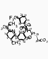 Cc1ccc(N(C)C)nc1-c1ccc2c(c1)N(S(=O)(=O)c1cccc(C(F)(F)F)c1)C[C@H](CCC(=O)O)O2